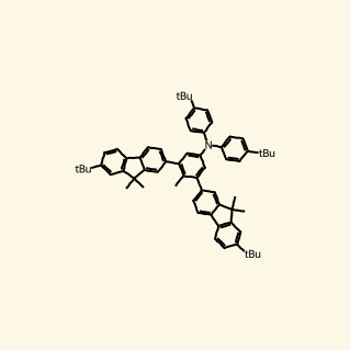 Cc1c(-c2ccc3c(c2)C(C)(C)c2cc(C(C)(C)C)ccc2-3)cc(N(c2ccc(C(C)(C)C)cc2)c2ccc(C(C)(C)C)cc2)cc1-c1ccc2c(c1)C(C)(C)c1cc(C(C)(C)C)ccc1-2